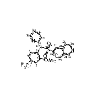 COc1cc(C(F)(F)F)ccc1N(c1ccncn1)S(=O)(=O)c1ccc2cnccc2c1